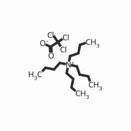 CCCC[N+](CCCC)(CCCC)CCCC.O=C([O-])C(Cl)(Cl)Cl